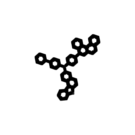 c1ccc(-c2ccc(N(c3ccc(-c4cc5ccc6ccccc6c5c5ccccc45)cc3)c3ccc4c(ccc5sc6ccccc6c54)c3)cc2)cc1